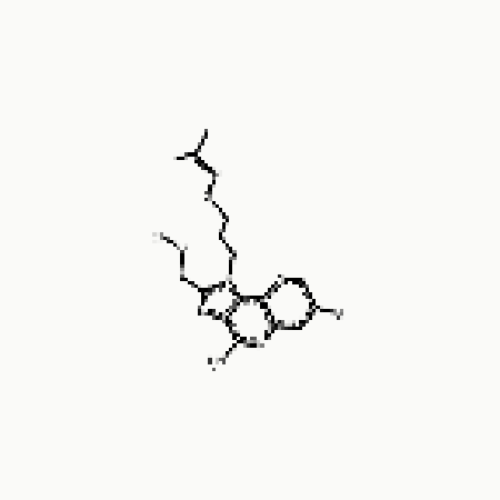 CCOCc1nc2c(N)nc3cc(Br)cnc3c2n1CCCON=C(C)C